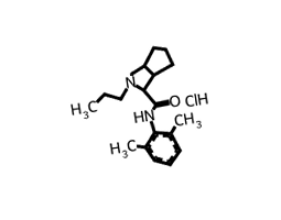 CCCN1CC2CCCC2C1C(=O)Nc1c(C)cccc1C.Cl